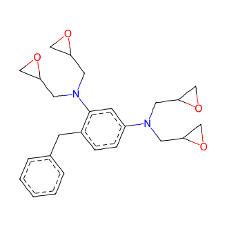 c1ccc(Cc2ccc(N(CC3CO3)CC3CO3)cc2N(CC2CO2)CC2CO2)cc1